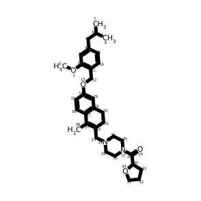 COc1cc(CC(C)C)ccc1COc1ccc2c(c1)CCC(CN1CCN(C(=O)C3CCCO3)CC1)=C2C